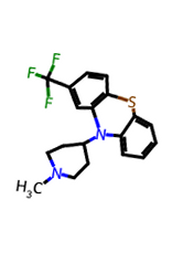 CN1CCC(N2c3ccccc3Sc3ccc(C(F)(F)F)cc32)CC1